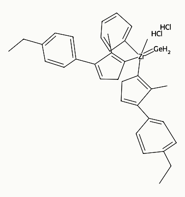 CCc1ccc(C2=CC[C]([Zr]([CH3])(=[GeH2])([C]3=C(C)C(c4ccc(CC)cc4)=CC3)[c]3ccccc3)=C2C)cc1.Cl.Cl